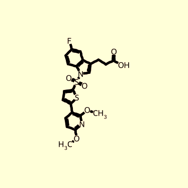 COc1ccc(-c2ccc(S(=O)(=O)n3cc(CCC(=O)O)c4cc(F)ccc43)s2)c(OC)n1